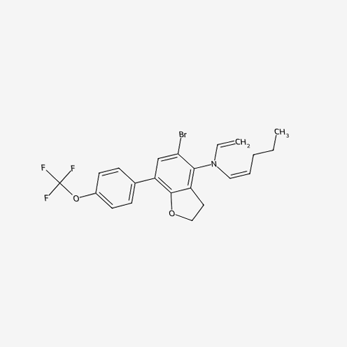 C=CN(/C=C\CCC)c1c(Br)cc(-c2ccc(OC(F)(F)F)cc2)c2c1CCO2